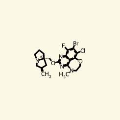 C=C1CN2CCC[C@@]2(COc2nc3c4c(c(Cl)c(Br)c(F)c4n2)OCCN3C)C1